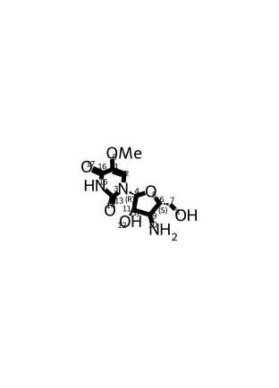 COc1cn([C@@H]2O[C@H](CO)C(N)[C@@H]2O)c(=O)[nH]c1=O